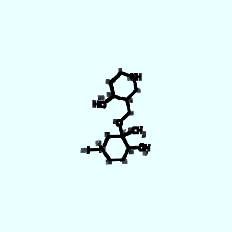 CC1(OCC2CNCCC2O)CN(I)CCC1O